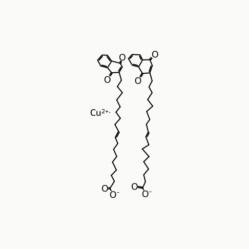 O=C([O-])CCCCCCCC=CCCCCCCCCC1=CC(=O)c2ccccc2C1=O.O=C([O-])CCCCCCCC=CCCCCCCCCC1=CC(=O)c2ccccc2C1=O.[Cu+2]